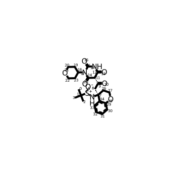 CC(C)(C)[S@+]([O-])N[C@@]1(CC(=O)[C@H]2C(=O)NC(=O)N(C3CCOCC3)C2=O)CCOc2ccccc21